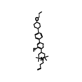 C=CCCN1C(C)(C)CC(c2ccc(-c3ccc(C4CCC(OCCC)CC4)cc3)cc2F)CC1(C)C